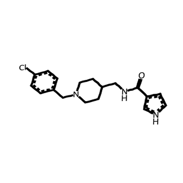 O=C(NCC1CCN(Cc2ccc(Cl)cc2)CC1)c1cc[nH]c1